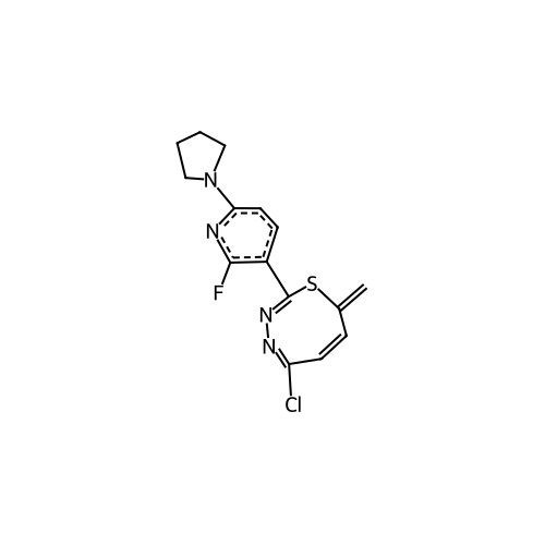 C=C1\C=C/C(Cl)=N\N=C(\c2ccc(N3CCCC3)nc2F)S1